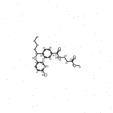 CCCCC(Oc1ccc(Cl)nc1)c1ccc(C(=O)NCCC(=O)OC)cc1